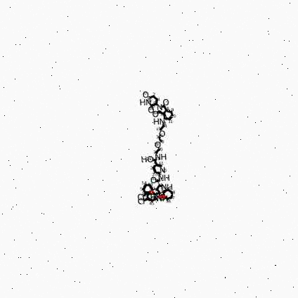 O=C1CCC(N2C(=O)c3cccc(NCCOCCOCCNC(O)c4ccc(NC(=O)[C@@H]5NC6(CCCCC6)[C@@]6(C(=O)Nc7cc(Cl)ccc76)[C@H]5c5cccc(Cl)c5F)nc4)c3C2=O)C(=O)N1